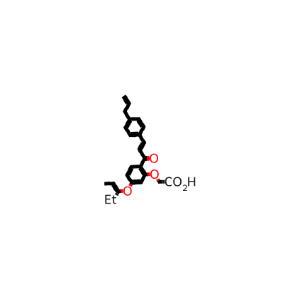 C=CCc1ccc(C=CC(=O)c2ccc(OC(=CC)CC)cc2OCC(=O)O)cc1